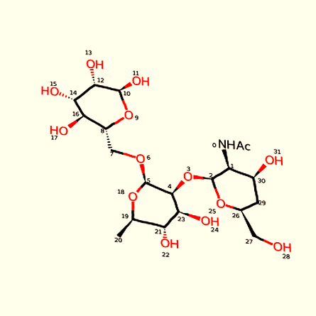 CC(=O)N[C@@H]1[C@H](O[C@@H]2[C@H](OC[C@H]3O[C@H](O)[C@@H](O)[C@@H](O)[C@@H]3O)O[C@H](C)[C@@H](O)[C@@H]2O)O[C@H](CO)C[C@@H]1O